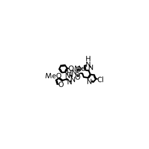 COc1cccc(OC)c1-n1c(NS(=O)(=O)CCc2ncc(Cl)cc2-c2cc[nH]n2)nnc1-c1ccco1